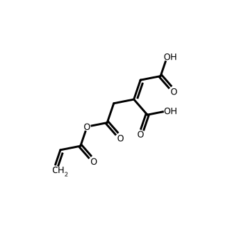 C=CC(=O)OC(=O)CC(=CC(=O)O)C(=O)O